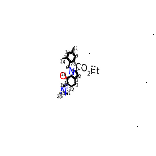 CCOC(=O)c1cc2c(n1Cc1ccc(C)cc1C)C(=O)/C(=C/N(C)C)CC2